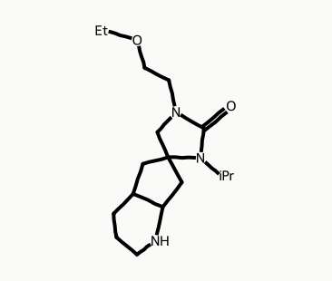 CCOCCN1CC2(CC3CCCNC3C2)N(C(C)C)C1=O